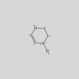 [O-][S+]1C=CO[CH]C1